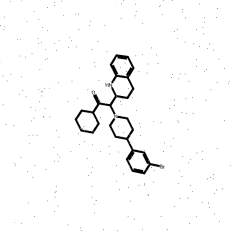 O=C(C1CCCCC1)C(C1CCc2ccccc2N1)N1CCC(c2cccc(Br)c2)CC1